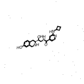 O=C(NCC(O)[C@@H]1Cc2ccc(O)cc2CN1)c1ccnc(NC2CCC2)c1